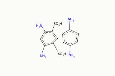 Nc1cc(N)c(S(=O)(=O)O)cc1S(=O)(=O)O.Nc1ccc(N)cc1